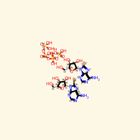 Nc1ncnc2c1nc(Br)n2[C@@H]1O[C@H](CO)[C@@H](O)[C@H]1O.Nc1ncnc2c1nc(Br)n2[C@@H]1O[C@H](CO)[C@@H](O)[C@H]1O.O=P(O)(O)OP(=O)(O)OP(=O)(O)OP(=O)(O)O